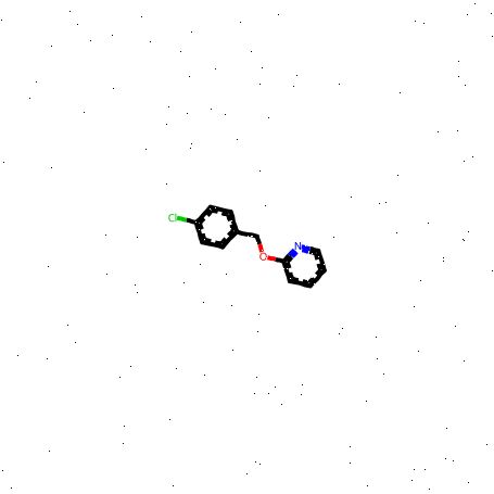 Clc1ccc(COc2ccccn2)cc1